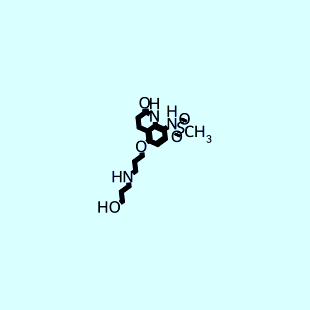 CS(=O)(=O)Nc1ccc(OCCCNCCCO)c2c1NC(=O)CC2